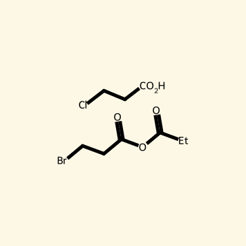 CCC(=O)OC(=O)CCBr.O=C(O)CCCl